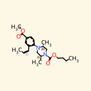 C/C=C\c1cc(C(=O)OC)ccc1N1C[C@H](C)N(C(=O)OCCCC)C[C@H]1C